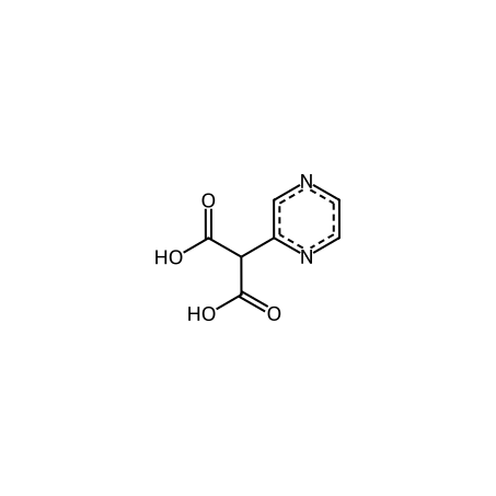 O=C(O)C(C(=O)O)c1cnccn1